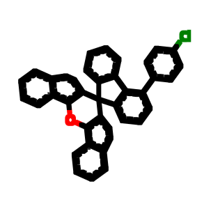 Clc1ccc(-c2cccc3c2-c2ccccc2C32c3ccc4ccccc4c3Oc3c2ccc2ccccc32)cc1